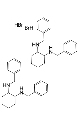 Br.Br.c1ccc(CNC2CCCCC2NCc2ccccc2)cc1.c1ccc(CNC2CCCCC2NCc2ccccc2)cc1